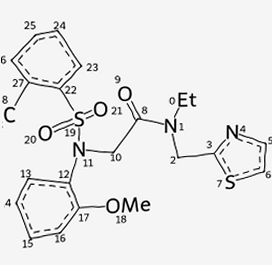 CCN(Cc1nccs1)C(=O)CN(c1ccccc1OC)S(=O)(=O)c1ccccc1C